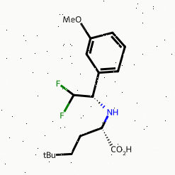 COc1cccc([C@H](N[C@@H](CCC(C)(C)C)C(=O)O)C(F)F)c1